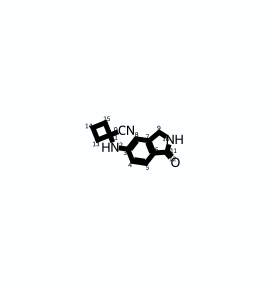 N#CC1(Nc2ccc3c(c2)CNC3=O)CCC1